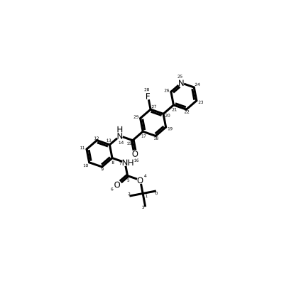 CC(C)(C)OC(=O)Nc1ccccc1NC(=O)c1ccc(-c2cccnc2)c(F)c1